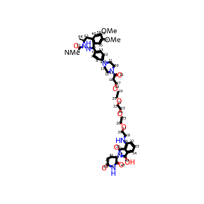 CNC(=O)N1NC(c2ccc(N3CCN(C(=O)CCOCCOCCOCCOCCNc4cccc5c4C(=O)N([C@H]4CCC(=O)NC4=O)C5O)CC3)cc2)c2cc(OC)c(OC)cc2C[C@@H]1C